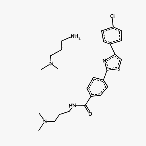 CN(C)CCCN.CN(C)CCCNC(=O)c1ccc(-c2nc(-c3ccc(Cl)cc3)cs2)cc1